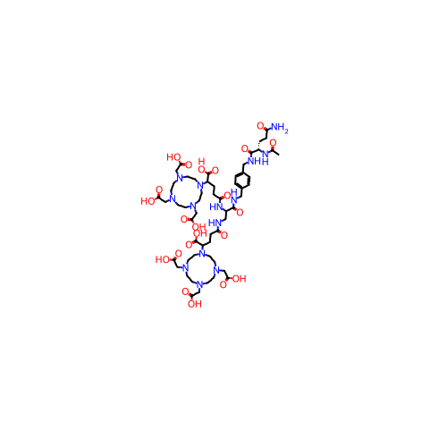 CC(=O)N[C@@H](CCC(N)=O)C(=O)NCc1ccc(CNC(=O)C(CNC(=O)CCC(C(=O)O)N2CCN(CC(=O)O)CCN(CC(=O)O)CCN(CC(=O)O)CC2)NC(=O)CCC(C(=O)O)N2CCN(CC(=O)O)CCN(CC(=O)O)CCN(CC(=O)O)CC2)cc1